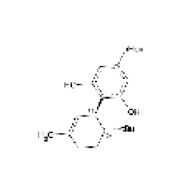 CCCCCCc1cc(O)c([C@@H]2C=C(C)CC[C@H]2C(C)(C)C)c(O)c1